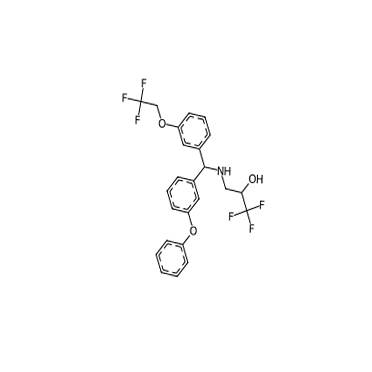 OC(CNC(c1cccc(OCC(F)(F)F)c1)c1cccc(Oc2ccccc2)c1)C(F)(F)F